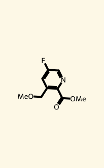 COCc1cc(F)cnc1C(=O)OC